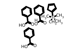 O=C(O)c1ccccc1.O=C(O)c1ccccc1.O=C(O)c1ccccc1.[CH3][Ti]([CH3])([CH3])([CH3])[C]1=CC=CC1